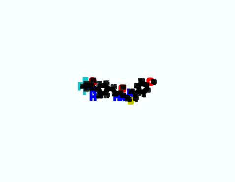 COc1ccc(C2CSC(NC(=O)CCc3ccc(NC(=O)C(F)(F)F)cc3)=N2)cc1